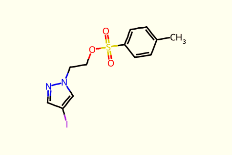 Cc1ccc(S(=O)(=O)OCCn2cc(I)cn2)cc1